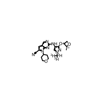 [2H]C([2H])([2H])n1cc(Nc2ncc3cc(C#N)n(C4CCOCC4)c3n2)c(O[C@@H]2CO[C@H]2C)n1